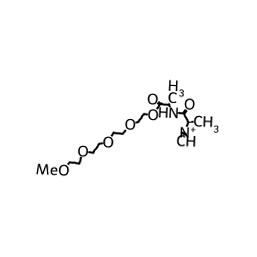 C#[N+][C@H](C)C(=O)N[C@H](C)C(=O)OCCOCCOCCOCCOC